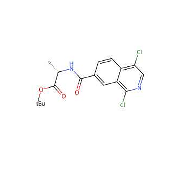 C[C@H](NC(=O)c1ccc2c(Cl)cnc(Cl)c2c1)C(=O)OC(C)(C)C